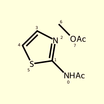 CC(=O)Nc1nccs1.COC(C)=O